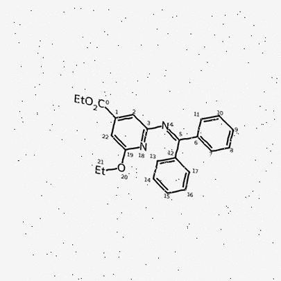 CCOC(=O)c1cc(N=C(c2ccccc2)c2ccccc2)nc(OCC)c1